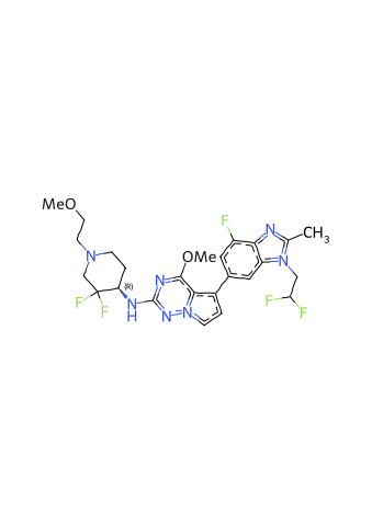 COCCN1CC[C@@H](Nc2nc(OC)c3c(-c4cc(F)c5nc(C)n(CC(F)F)c5c4)ccn3n2)C(F)(F)C1